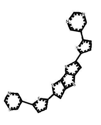 c1ncc(-c2ccc(-c3cc4sc5cc(-c6ccc(-c7cncnc7)s6)sc5c4s3)s2)cn1